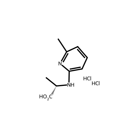 Cc1cccc(N[C@@H](C)C(=O)O)n1.Cl.Cl